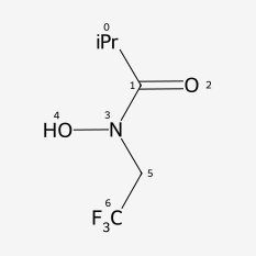 CC(C)C(=O)N(O)CC(F)(F)F